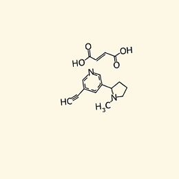 C#Cc1cncc(C2CCCN2C)c1.O=C(O)C=CC(=O)O